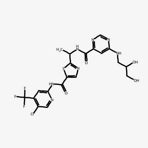 CC(NC(=O)c1cc(NCC(O)CO)ncn1)c1ncc(C(=O)Nc2cc(C(F)(F)F)c(Cl)cn2)s1